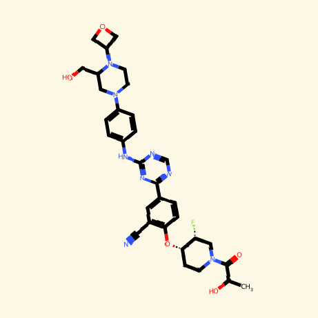 CC(O)C(=O)N1CC[C@H](Oc2ccc(-c3ncnc(Nc4ccc(N5CCN(C6COC6)C(CO)C5)cc4)n3)cc2C#N)[C@H](F)C1